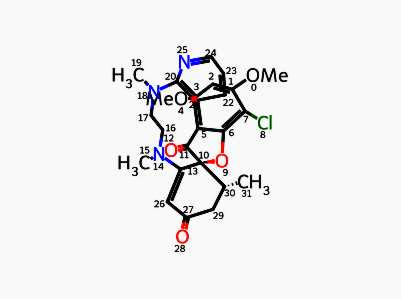 COc1cc(OC)c2c(c1Cl)O[C@]1(C2=O)C(N(C)CCN(C)c2ccccn2)=CC(=O)C[C@H]1C